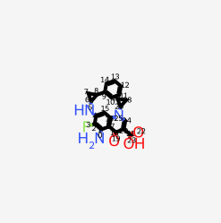 Nc1c(F)c(NC2CC2c2ccccc2)cc2c1c(=O)c(C(=O)O)cn2C1CC1